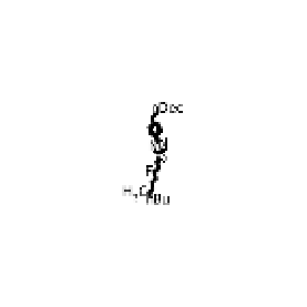 CCCCCCCCCCCCc1ccc(-c2ncc(OCCC(F)CCCC(C)CCCC)cn2)cc1